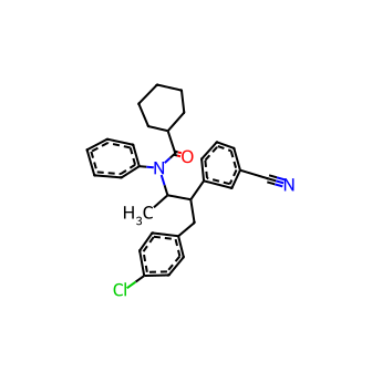 CC(C(Cc1ccc(Cl)cc1)c1cccc(C#N)c1)N(C(=O)C1CCCCC1)c1ccccc1